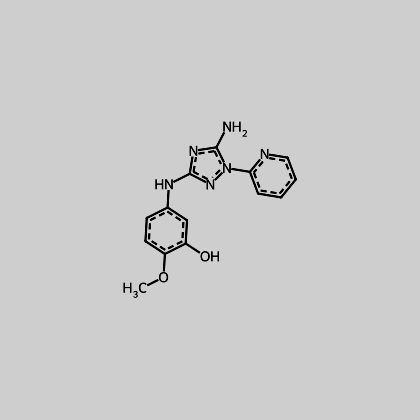 COc1ccc(Nc2nc(N)n(-c3ccccn3)n2)cc1O